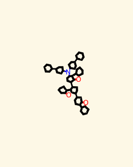 c1ccc(-c2ccc(N(c3ccc(-c4ccccc4)cc3)c3ccc(-c4ccc(-c5ccc6c(c5)oc5ccccc56)c5oc6ccccc6c45)c4oc5ccccc5c34)cc2)cc1